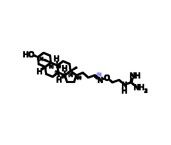 C[C@]12CC[C@H](O)C[C@H]1CC[C@@H]1[C@@H]2CC[C@]2(C)[C@@H](CC/C=N/OCCNC(=N)N)CC[C@@H]12